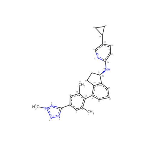 Cc1cc(-c2nnn(C)n2)cc(C)c1-c1cccc2c1CC[C@H]2Nc1ccc(C2CC2)cn1